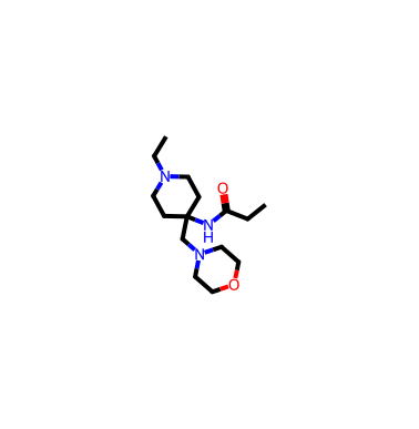 CCC(=O)NC1(CN2CCOCC2)CCN(CC)CC1